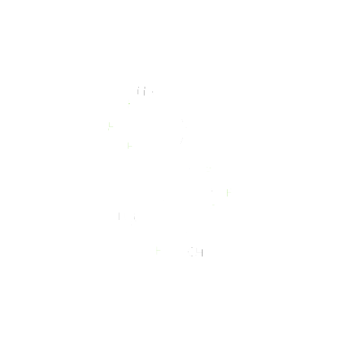 Cc1ccc(/C=C/C(c2cc(C)c(F)c(C)c2)C(F)(F)F)cc1C(F)(F)F